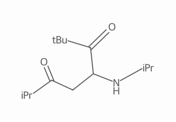 CC(C)NC(CC(=O)C(C)C)C(=O)C(C)(C)C